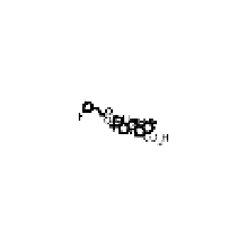 CC1(C)CC[C@]2(C(=O)O)CC[C@]3(C)C(=CC[C@@H]4[C@@]5(C)CC[C@H](OC(=O)CCc6cccc(F)c6)C(C)(C)C5CC[C@]43C)[C@@H]2C1